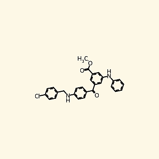 COC(=O)c1cc(Nc2ccccc2)cc(C(=O)c2ccc(NCc3ccc(Cl)cc3)cc2)c1